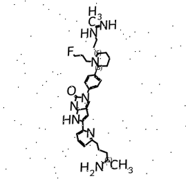 CC(=N)NCC[C@@H]1CCC[C@@H](c2ccc(-n3cc4cc(-c5cccc(CCC[C@H](C)N)n5)[nH]c4nc3=O)cc2)N1CCCF